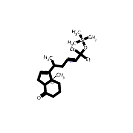 CCC(/C=C/CC(C)C1=CCC2C(=O)CCC[C@]12C)(CC)O[Si](C)(C)C